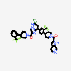 O=C(c1cn2nc(Cl)cc(-c3ccc(C4CCN(C(=O)c5cc6ccncc6[nH]5)CC4)c(C(F)(F)F)c3)c2n1)N1CCC(c2ccccc2C(F)(F)F)CC1